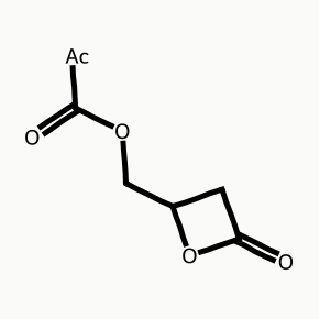 CC(=O)C(=O)OCC1CC(=O)O1